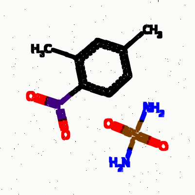 Cc1ccc(I(=O)=O)c(C)c1.NS(N)(=O)=O